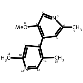 COc1cnc(C)cc1-c1cc(C)ncc1C